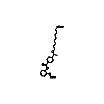 CCCCCCCCCCCCCCCCCCOC(C)c1ccc(C(=O)Oc2ccccc2OCCCC)cc1